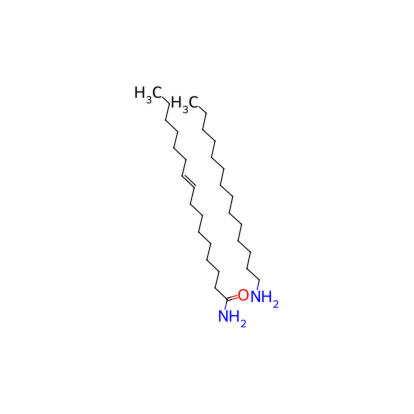 CCCCCCC=CCCCCCCCC(N)=O.CCCCCCCCCCCCCCN